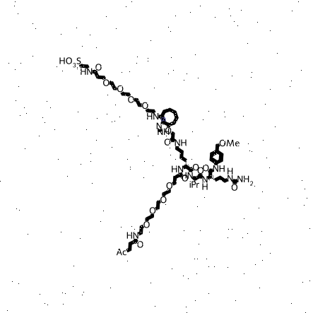 COCc1ccc(NC(=O)[C@H](CCCNC(N)=O)NC(=O)[C@@H](NC(=O)[C@@H](CCCCNC(=O)COC2CCCCC/C(NCCOCCOCCOCCOCCC(=O)NCCS(=O)(=O)O)=C\2N=N)NC(=O)CCOCCOCCOCCOCCNC(=O)CCC(C)=O)C(C)C)cc1